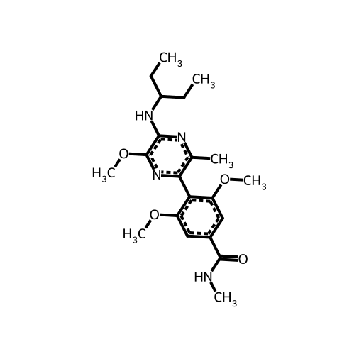 CCC(CC)Nc1nc(C)c(-c2c(OC)cc(C(=O)NC)cc2OC)nc1OC